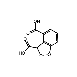 O=C(O)c1cccc2c1C(C(=O)O)OO2